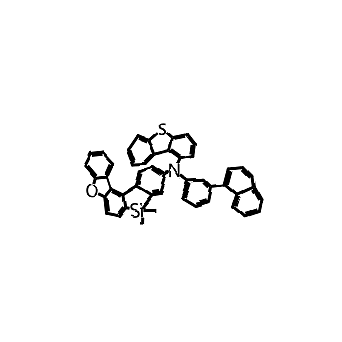 C[Si]1(C)c2cc(N(c3cccc(-c4cccc5ccccc45)c3)c3cccc4sc5ccccc5c34)ccc2-c2c1ccc1oc3ccccc3c21